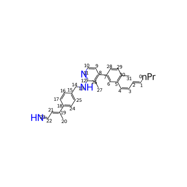 CCC/C=C/C=C\c1cc(-c2ccnc(NCc3ccc(/C(C)=C/C=N)cc3)c2C)ccc1C